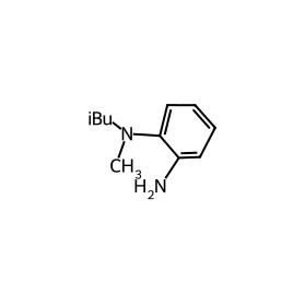 CCC(C)N(C)c1ccccc1N